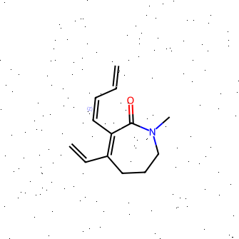 C=C/C=C\C1=C(C=C)CCCN(C)C1=O